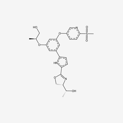 C[C@@H](CO)Oc1cc(Oc2ccc(S(C)(=O)=O)nc2)cc(-c2ccc(C3=N[C@H]([C@@H](C)O)CO3)[nH]2)c1